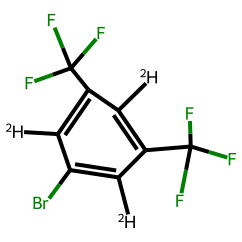 [2H]c1c(Br)c([2H])c(C(F)(F)F)c([2H])c1C(F)(F)F